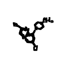 CCc1cn2cc(Cl)cc(N3CCN(C)CC3)c2n1